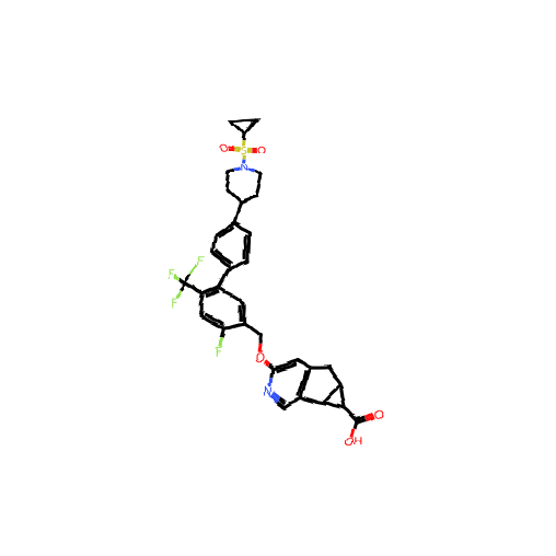 O=C(O)C1C2Cc3cc(OCc4cc(-c5ccc(C6CCN(S(=O)(=O)C7CC7)CC6)cc5)c(C(F)(F)F)cc4F)ncc3C21